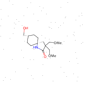 COCC1(COC)C[C@]2(CC[C@@H](CO)CC2)NC1=O